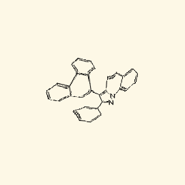 c1ccc(-c2nn3c(ccc4ccccc43)c2-c2cc3ccccc3c3ccccc23)cc1